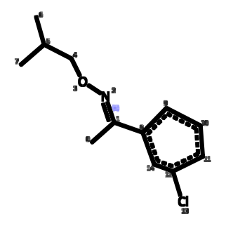 C/C(=N\OCC(C)C)c1cccc(Cl)c1